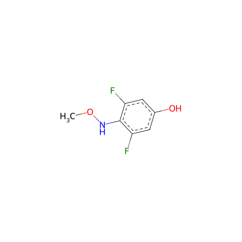 CONc1c(F)cc(O)cc1F